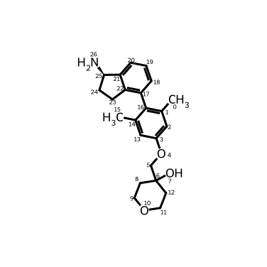 Cc1cc(OCC2(O)CCOCC2)cc(C)c1-c1cccc2c1CC[C@H]2N